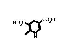 CCOC(=O)C1=CNC(C)=C(C(=O)O)C1